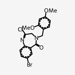 COc1ccc(CN2CC(Cl)=Nc3ccc(Br)cc3C2=O)c(OC)c1